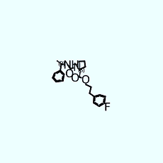 C[C@@H](NC(=O)N1CCC[C@H]1C(=O)OCCCc1ccc(F)cc1)c1ccccc1